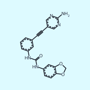 Nc1ncc(C#Cc2cccc(NC(=O)Nc3ccc4c(c3)OCO4)c2)cn1